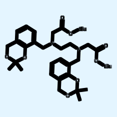 CC(C)(C)OC(=O)CN(CCN(CC(=O)OC(C)(C)C)Cc1cccc2c1OC(C)(C)OC2)Cc1cccc2c1OC(C)(C)OC2